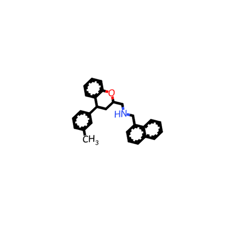 Cc1cccc(C2CC(CNCc3cccc4ccccc34)Oc3ccccc32)c1